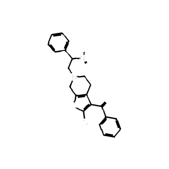 Nc1sc2c(c1C(=O)c1ccccc1)CCN(CC(c1ccccc1)[N+](=O)[O-])C2